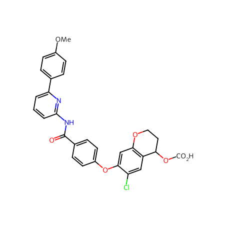 COc1ccc(-c2cccc(NC(=O)c3ccc(Oc4cc5c(cc4Cl)C(OC(=O)O)CCO5)cc3)n2)cc1